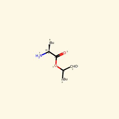 CCCCC([C]=O)OC(=O)[C@@H](N)C(C)CC